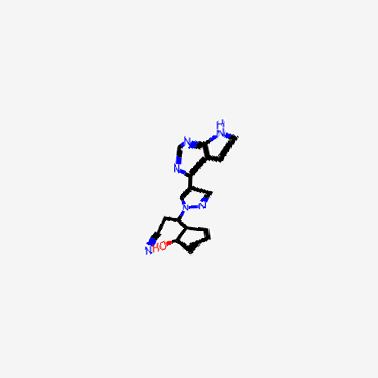 N#CCC(C1CCCC1O)n1cc(-c2ncnc3[nH]ccc23)cn1